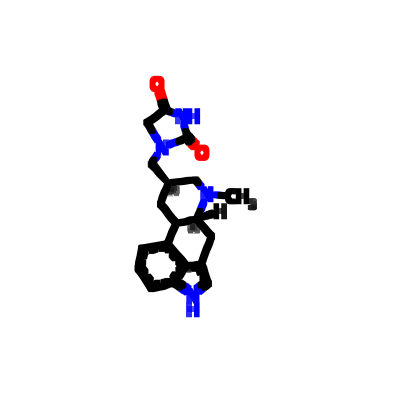 CN1C[C@H](CN2CC(=O)NC2=O)CC2c3cccc4[nH]cc(c34)C[C@H]21